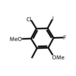 COc1c(C)c(OC)c(Cl)c(I)c1F